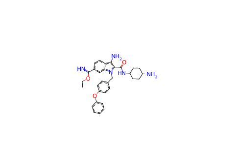 CCOC(=N)c1ccc2c(N)c(C(=O)NC3CCC(N)CC3)n(Cc3ccc(Oc4ccccc4)cc3)c2c1